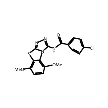 COc1ccc(OC)c2c1sc1nnc(NC(=O)c3ccc(Cl)cc3)n12